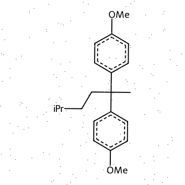 COc1ccc(C(C)(CCC(C)C)c2ccc(OC)cc2)cc1